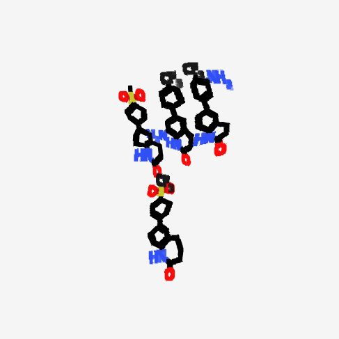 CS(=O)(=O)c1ccc(-c2ccc3c(c2)CCC(=O)N3)cc1.Nc1cc(-c2ccc(C(F)(F)F)cc2)cc2c1NC(=O)CC2.Nc1cc(-c2ccc3c(c2)CCC(=O)N3)ccc1C(F)(F)F.O=C1CCCc2cc(-c3ccc(S(=O)(=O)C(F)(F)F)cc3)ccc2N1